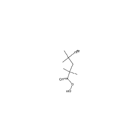 CCCC(C)(C)CC(C)(C)C(=O)OO